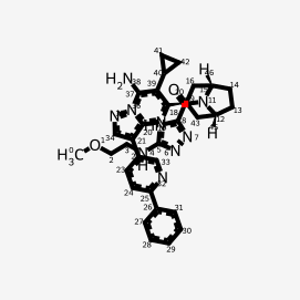 COCCNc1nnc(C(=O)N2[C@@H]3CC[C@H]2C[C@H](c2nc4c(-c5ccc(-c6ccccc6)nc5)cnn4c(N)c2C2CC2)C3)[nH]1